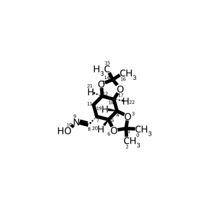 CC1(C)O[C@@H]2[C@H](O1)[C@H](C=NO)C[C@H]1OC(C)(C)O[C@@H]21